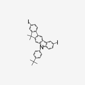 CC(C)(C)c1ccc(-n2c3ccc(I)cc3c3cc4c(cc32)C(C)(C)c2cc(I)ccc2-4)cc1